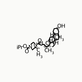 CC(C)OC(=O)N1CCN(C(=O)CC[C@@H](C)[C@H]2CC[C@H]3[C@@H]4CC=C5C[C@@H](O)CC[C@]5(C)[C@H]4CC[C@]23C)[C@@H](C)C1